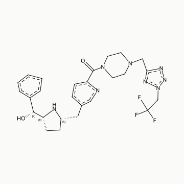 O=C(c1ccc(C[C@@H]2CC[C@H]([C@H](O)c3ccccc3)N2)cn1)N1CCN(Cc2nnn(CC(F)(F)F)n2)CC1